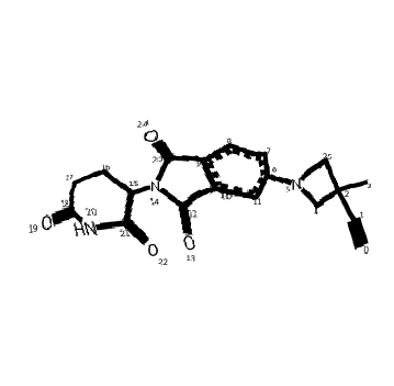 C#CC1(C)CN(c2ccc3c(c2)C(=O)N(C2CCC(=O)NC2=O)C3=O)C1